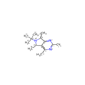 Cc1nc(C)c2c(n1)C(C)N(C(C)(C)C)C2C